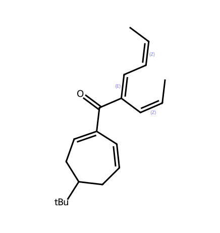 C\C=C/C=C(\C=C/C)C(=O)C1=CCC(C(C)(C)C)CC=C1